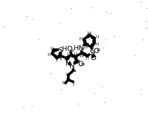 CC(C)CCn1nc(-c2cccs2)c(O)c(C2=CS(=O)(=O)c3ccccc3N2)c1=O